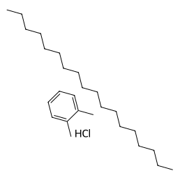 CCCCCCCCCCCCCCCCCC.Cc1ccccc1C.Cl